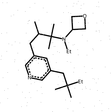 CCN(C1COC1)C(C)(C)C(C)Cc1cncc(CC(C)(C)CC)c1